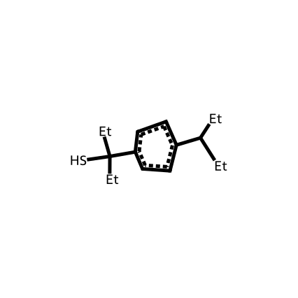 CCC(CC)c1ccc(C(S)(CC)CC)cc1